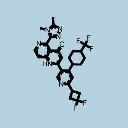 Cc1nnc(-c2nccc3[nH]c(-c4cnc(C5CC(F)(F)C5)cc4C4CCC(C(F)(F)F)CC4)cc(=O)c23)n1C